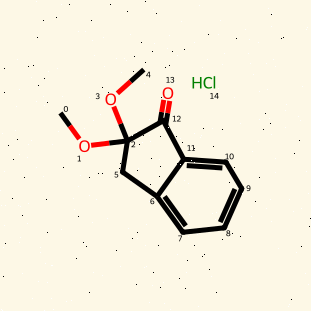 COC1(OC)Cc2ccccc2C1=O.Cl